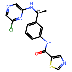 C[C@H](Nc1cncc(Cl)n1)c1cccc(NC(=O)c2cncs2)c1